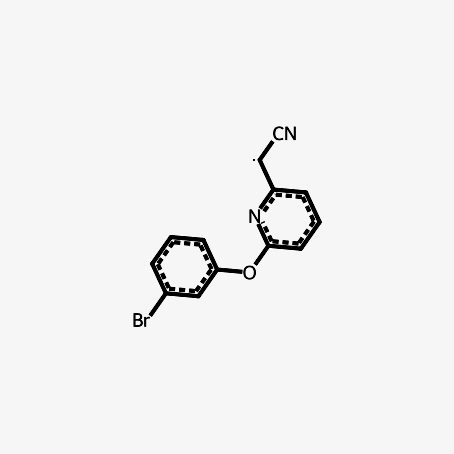 N#C[CH]c1cccc(Oc2cccc(Br)c2)n1